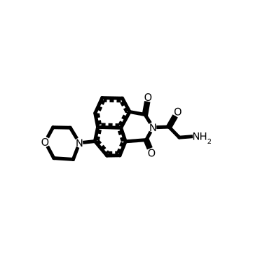 NCC(=O)N1C(=O)c2cccc3c(N4CCOCC4)ccc(c23)C1=O